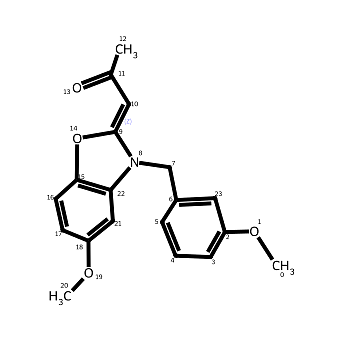 COc1cccc(CN2/C(=C/C(C)=O)Oc3ccc(OC)cc32)c1